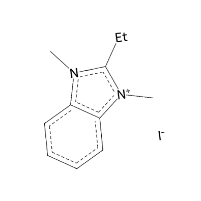 CCc1n(C)c2ccccc2[n+]1C.[I-]